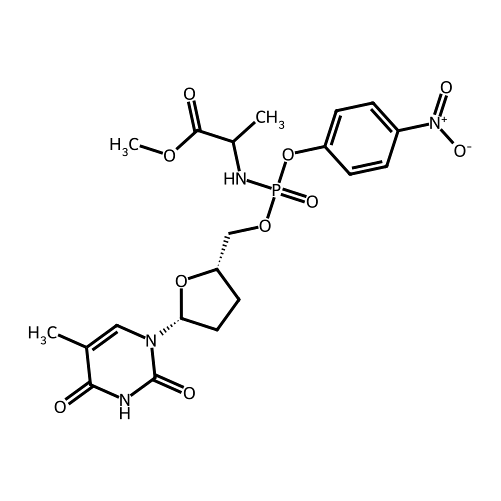 COC(=O)C(C)NP(=O)(OC[C@@H]1CC[C@H](n2cc(C)c(=O)[nH]c2=O)O1)Oc1ccc([N+](=O)[O-])cc1